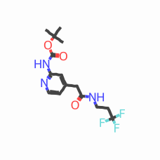 CC(C)(C)OC(=O)Nc1cc(CC(=O)NCCC(F)(F)F)ccn1